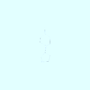 CC(=O)N1CCN(C2CCNC2)CC1